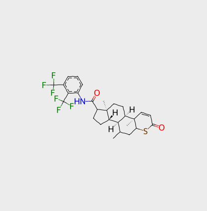 CC1CC2SC(=O)C=C[C@]2(C)[C@@H]2CC[C@]3(C)C(C(=O)Nc4cccc(C(F)(F)F)c4C(F)(F)F)CC[C@H]3[C@H]12